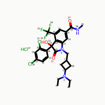 CCN(CC)C1CC(CN2C(=O)C(O)(c3ccc(Cl)cc3Cl)c3c2cc(C(=O)NC)cc3C(F)(F)F)C1.Cl